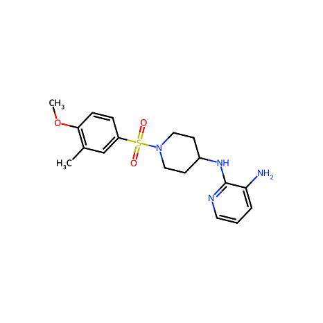 COc1ccc(S(=O)(=O)N2CCC(Nc3ncccc3N)CC2)cc1C